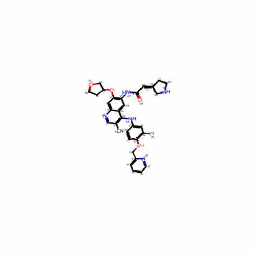 N#Cc1cnc2cc(OC3CCOC3)c(NC(=O)/C=C3/CCNC3)cc2c1Nc1ccc(OCc2ccccn2)c(Cl)c1